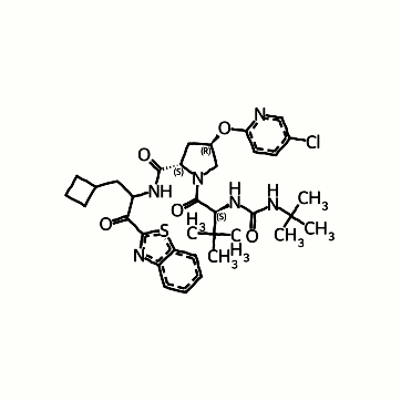 CC(C)(C)NC(=O)N[C@H](C(=O)N1C[C@H](Oc2ccc(Cl)cn2)C[C@H]1C(=O)NC(CC1CCC1)C(=O)c1nc2ccccc2s1)C(C)(C)C